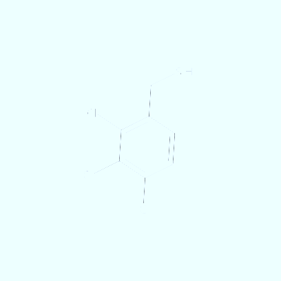 [SiH3]Cc1ccc(Cl)c(Cl)c1Cl